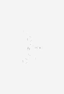 C[C@@H](c1ccccc1)N1CCN(C[C@H](c2cccc(OC(F)(F)F)c2)C2(O)CCCCC2)CC1.Cl.Cl